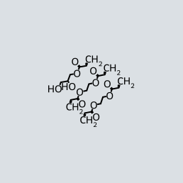 C=CC(=O)OCC(O)CO.C=CC(=O)OCCOC(=O)C=C.C=CC(=O)OCCOC(=O)C=C